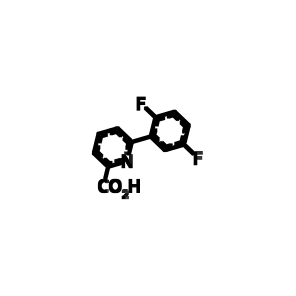 O=C(O)c1cccc(-c2cc(F)ccc2F)n1